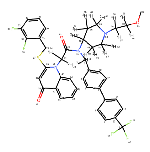 [2H]C(C)(c1ccc(-c2ccc(C(F)(F)F)cc2)cc1)N(C(=O)C([2H])([2H])n1c(SCc2cccc(F)c2F)cc(=O)c2ccccc21)C1([2H])C([2H])([2H])C([2H])([2H])N(C([2H])([2H])C([2H])([2H])OC)C([2H])([2H])C1([2H])[2H]